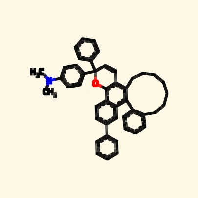 CN(C)c1ccc(C2(c3ccccc3)C=Cc3c4c(c5cc(-c6ccccc6)ccc5c3O2)-c2ccccc2CCCCCCC4)cc1